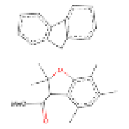 COC(=O)C1c2c(C)cc(C)c(C)c2OC1(C)C.c1ccc2c(c1)Cc1ccccc1-2